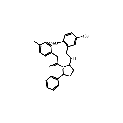 COc1ccc(C(C)(C)C)cc1CNC1CCC(c2ccccc2)N1C(=O)Cc1ccc(C)cc1